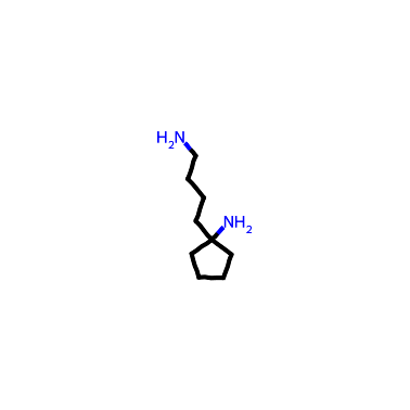 NCCCCC1(N)CCCC1